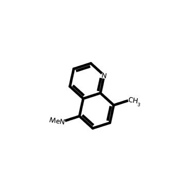 CNc1ccc(C)c2ncccc12